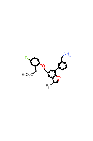 CCOC(=O)Cc1cc(F)ccc1OCc1cc(-c2cccc(CN)c2)c2occ(C(F)(F)F)c2c1